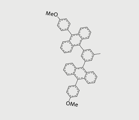 COc1ccc(-c2c3ccccc3c(-c3cc(C)cc(-c4c5ccccc5c(-c5ccc(OC)cc5)c5ccccc45)c3)c3ccccc23)cc1